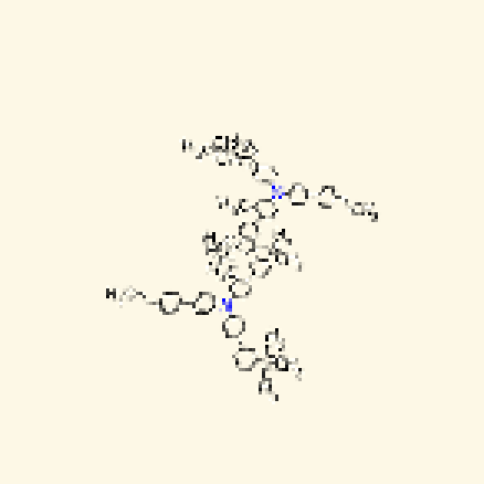 CCCc1ccc(-c2ccc(N(c3ccc(-c4cccc(C(C)(C)C)c4)cc3)c3ccc(-c4ccc5c(c4)C4(CC5(C)C)CC(C)(C)c5ccc(-c6ccc(N(c7ccc(-c8ccc(CCC)cc8)cc7)c7ccc(-c8cccc(C(C)(C)C)c8)cc7)cc6C)cc54)c(C)c3)cc2)cc1